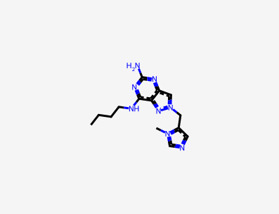 CCCCNc1nc(N)nc2cn(Cc3cncn3C)nc12